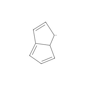 [CH]1C=CC2=CC=CC12